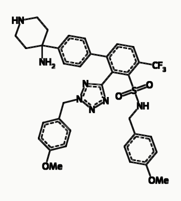 COc1ccc(CNS(=O)(=O)c2c(C(F)(F)F)ccc(-c3ccc(C4(N)CCNCC4)cc3)c2-c2nnn(Cc3ccc(OC)cc3)n2)cc1